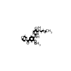 COCCNc1nc(Nc2ccc(C(=O)N3CCOCC3)cc2OC)ncc1Cl